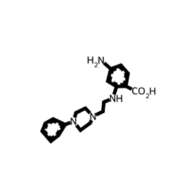 Nc1ccc(C(=O)O)c(NCCN2CCN(c3ccccc3)CC2)c1